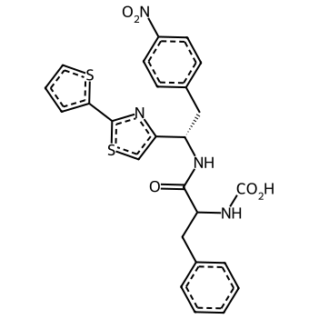 O=C(O)NC(Cc1ccccc1)C(=O)N[C@@H](Cc1ccc([N+](=O)[O-])cc1)c1csc(-c2cccs2)n1